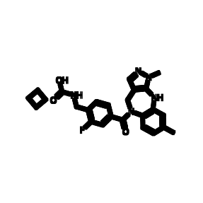 C1CCC1.Cc1ccc2c(c1)Nc1c(cnn1C)CN2C(=O)c1ccc(CNC(=O)O)c(F)c1